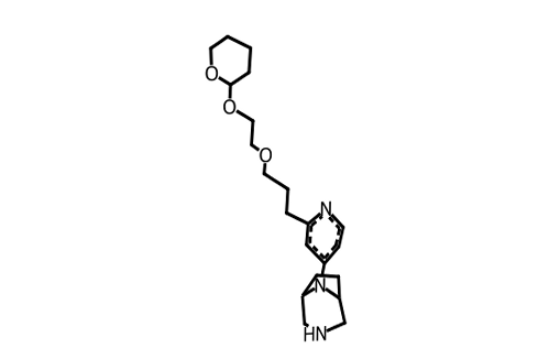 c1cc(N2C3CCC2CNC3)cc(CCCOCCOC2CCCCO2)n1